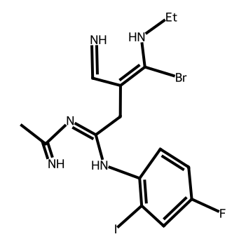 CCN/C(Br)=C(\C=N)C/C(=N/C(C)=N)Nc1ccc(F)cc1I